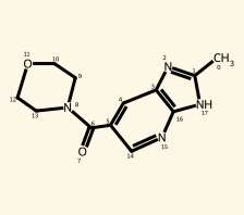 Cc1nc2cc(C(=O)N3CCOCC3)cnc2[nH]1